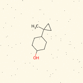 CC1(C2CCC(O)CC2)CC1